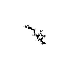 C#CCSc1nc(C(C)C)n[nH]1